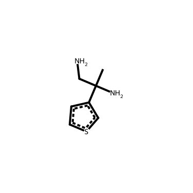 CC(N)(CN)c1ccsc1